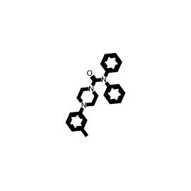 Cc1cccc(N2CCN(C(=O)N(c3ccccc3)c3ccccc3)CC2)c1